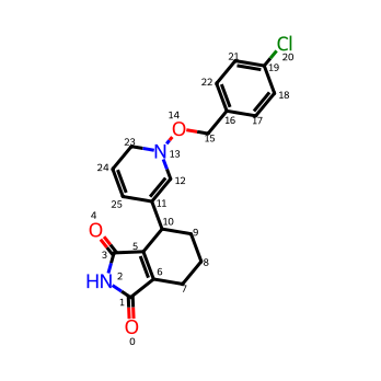 O=C1NC(=O)C2=C1CCCC2C1=CN(OCc2ccc(Cl)cc2)CC=C1